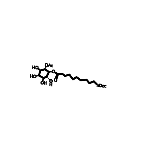 CCCCCCCCCCCCCCCCCCCC(=O)O[C@@H]1[C@H](O)[C@@H](O)[C@H](O)[C@@H](O)[C@@H]1OC(C)=O